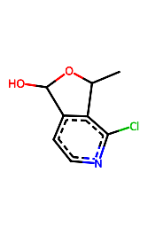 CC1OC(O)c2ccnc(Cl)c21